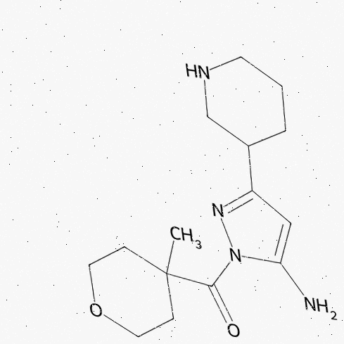 CC1(C(=O)n2nc(C3CCCNC3)cc2N)CCOCC1